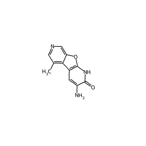 Cc1cncc2oc3[nH]c(=O)c(N)cc3c12